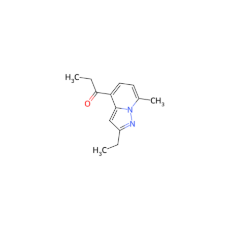 CCC(=O)c1ccc(C)n2nc(CC)cc12